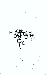 CC(C)(C)OCC1C(=O)C(C)(C)C(=O)N1c1ccc(C#N)c(Cl)c1